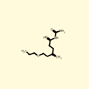 C=C(CCOCCC)CCC(=N)NC(N)=O